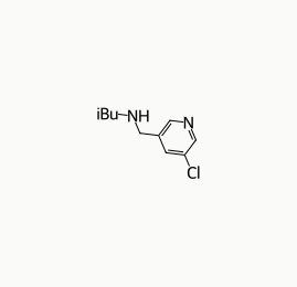 CCC(C)NCc1cncc(Cl)c1